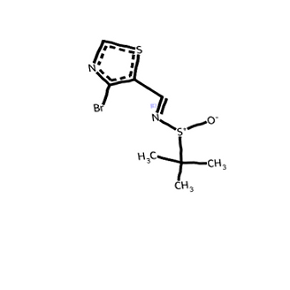 CC(C)(C)[S+]([O-])/N=C/c1scnc1Br